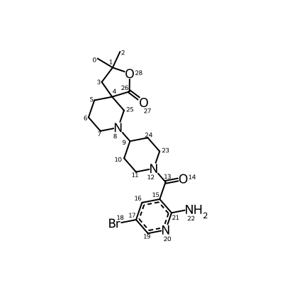 CC1(C)CC2(CCCN(C3CCN(C(=O)c4cc(Br)cnc4N)CC3)C2)C(=O)O1